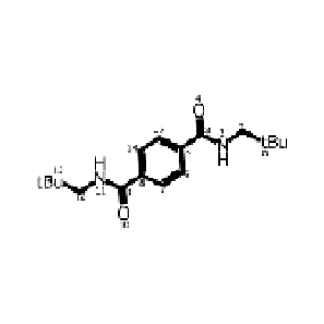 CC(C)(C)CNC(=O)c1ccc(C(=O)NCC(C)(C)C)cc1